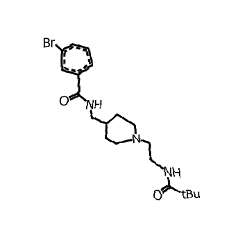 CC(C)(C)C(=O)NCCN1CCC(CNC(=O)c2cccc(Br)c2)CC1